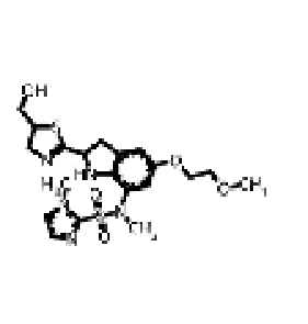 COCCOc1cc2c(c(N(C)S(=O)(=O)c3nccn3C)c1)NC(C1=NCC(CO)S1)C2